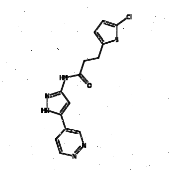 O=C(CCc1ccc(Cl)s1)Nc1cc(-c2ccnnc2)[nH]n1